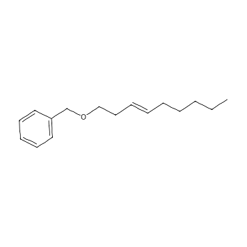 CCCCCC=CCCOCc1ccccc1